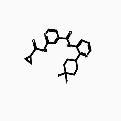 O=C(Nc1cncnc1N1CCC(F)(F)CC1)c1ccnc(NC(=O)C2CC2)c1